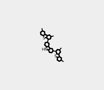 Cc1ccc2sc3c(-c4ccc5[nH]c6ccc(-c7cc(C)cc8c7sc7ccc(C)cc78)cc6c5c4)cc(C)cc3c2c1